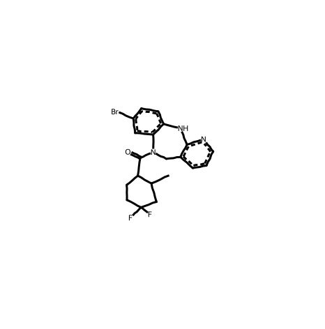 CC1CC(F)(F)CCC1C(=O)N1Cc2cccnc2Nc2ccc(Br)cc21